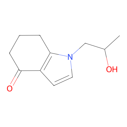 CC(O)Cn1ccc2c1CCCC2=O